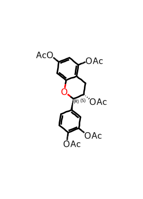 CC(=O)Oc1cc(OC(C)=O)c2c(c1)O[C@H](c1ccc(OC(C)=O)c(OC(C)=O)c1)[C@@H](OC(C)=O)C2